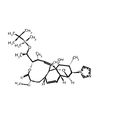 CO[C@H]1C[C@H]2C=C[C@H]3[C@H]4O[C@]2(C(C)=C[C@@H](C)[C@@H]([C@@H](C)O[Si](C)(C)C(C)(C)C)OC1=O)[C@@H]3[C@H](O)[C@H](C)[C@H]4n1ccnc1